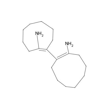 N/C1=C(\C2=C(\N)CCCCCCC2)CCCCCCC1